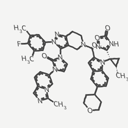 Cc1cc(-n2nc3c(c2-n2ccn(-c4ccc5cnc(C)n5c4)c2=O)CN(C(=O)c2cc4cc(C5CCOCC5)ccc4n2[C@@]2(c4noc(=O)[nH]4)C[C@@H]2C)CC3)cc(C)c1F